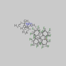 CCC(C)(C)[NH2+]C(C)(C)CC.Fc1c(F)c(F)c([B-](c2c(F)c(F)c(F)c(F)c2F)(c2c(F)c(F)c(F)c(F)c2F)c2c(F)c(F)c(F)c(F)c2F)c(F)c1F